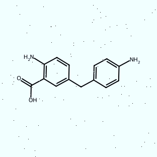 Nc1ccc(Cc2ccc(N)c(C(=O)O)c2)cc1